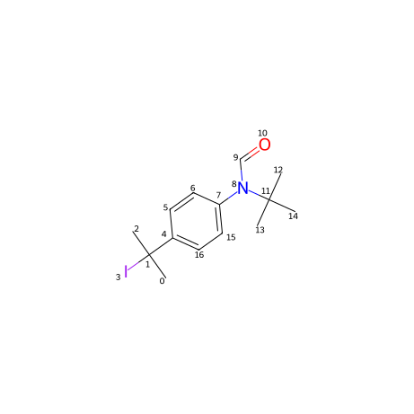 CC(C)(I)c1ccc(N(C=O)C(C)(C)C)cc1